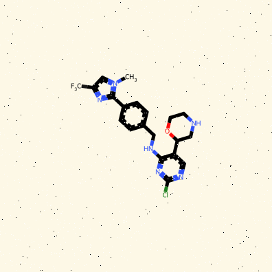 Cn1cc(C(F)(F)F)nc1-c1ccc(CNc2nc(Cl)ncc2C2CNCCO2)cc1